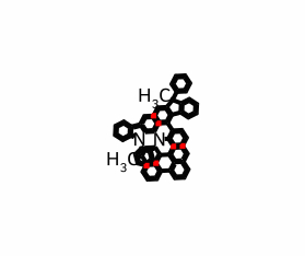 CC1C=C(N(c2ccccc2-c2cccc3c2-c2ccccc2C3(C)c2ccccc2)c2cccc3c4ccccc4n(-c4ccccc4)c23)C(c2cccc3cccc(-c4ccccc4)c23)=CC1